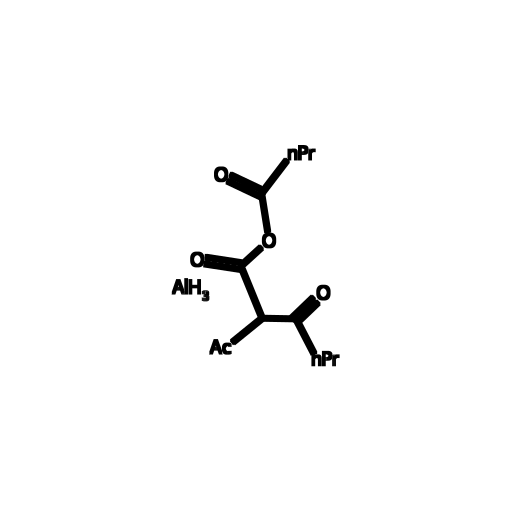 CCCC(=O)OC(=O)C(C(C)=O)C(=O)CCC.[AlH3]